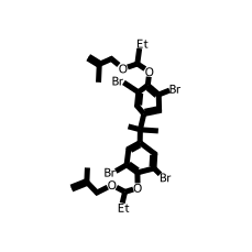 C=C(C)COC(CC)Oc1c(Br)cc(C(C)(C)c2cc(Br)c(OC(CC)OCC(=C)C)c(Br)c2)cc1Br